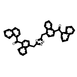 O=C(c1cccc2ccccc12)c1ccc(Cc2nnc(Cc3ccc(C(=O)c4cccc5ccccc45)c4ccccc34)o2)c2ccccc12